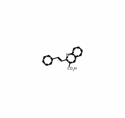 O=C(O)c1cc2ccccc2nc1/C=C/c1ccccc1